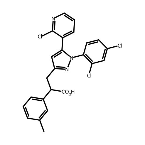 Cc1cccc(C(Cc2cc(-c3cccnc3Cl)n(-c3ccc(Cl)cc3Cl)n2)C(=O)O)c1